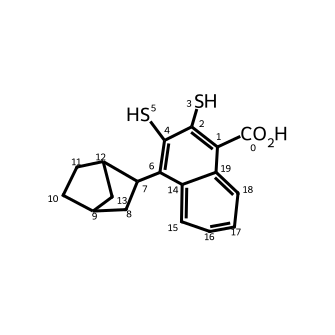 O=C(O)c1c(S)c(S)c(C2CC3CCC2C3)c2ccccc12